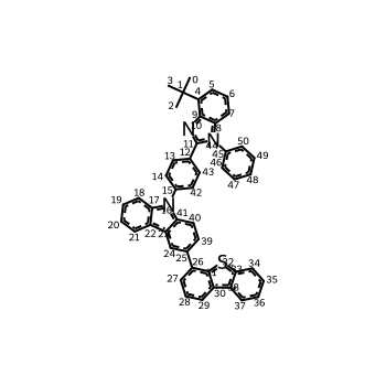 CC(C)(C)c1cccc2c1nc(-c1ccc(-n3c4ccccc4c4cc(-c5cccc6c5sc5ccccc56)ccc43)cc1)n2-c1ccccc1